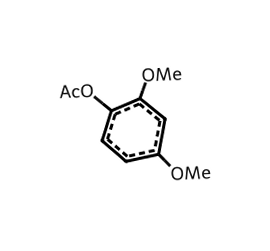 COc1ccc(OC(C)=O)c(OC)c1